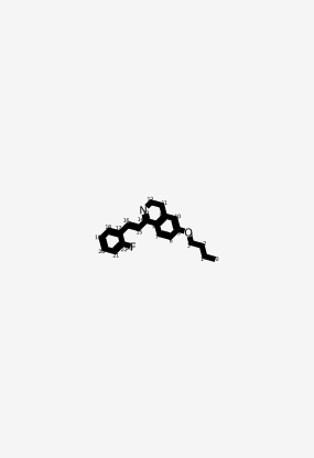 CCCCOc1ccc2c(c1)CCN=C2/C=C/c1ccccc1F